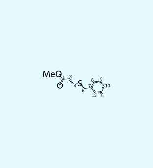 COC(=O)C=CSCc1ccccc1